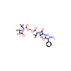 CC1(C)S[C@@H]2[C@H](I)C(=O)N2[C@H]1C(=O)OCOC(=O)[C@@H]1N2C(=O)[C@@H](NC(=O)C(N)c3ccccc3)[C@H]2SC1(C)C